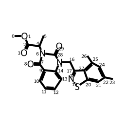 COC(=O)C(C)n1c(=O)c2ccccc2n(Cc2nsc3cc(C)cc(C)c23)c1=O